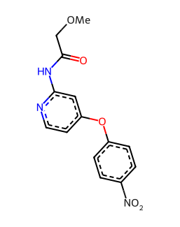 COCC(=O)Nc1cc(Oc2ccc([N+](=O)[O-])cc2)ccn1